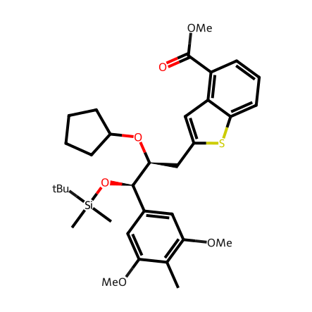 COC(=O)c1cccc2sc(C[C@H](OC3CCCC3)[C@H](O[Si](C)(C)C(C)(C)C)c3cc(OC)c(C)c(OC)c3)cc12